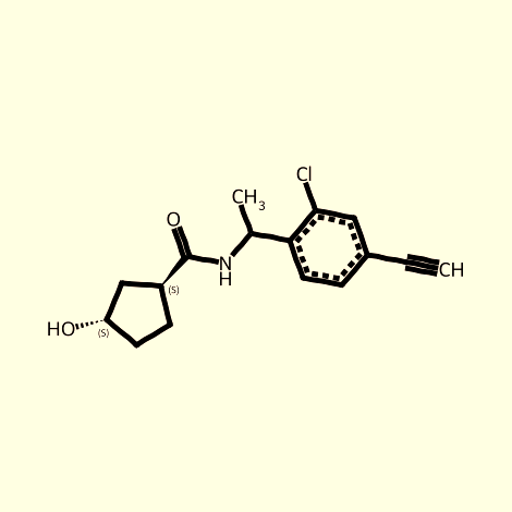 C#Cc1ccc(C(C)NC(=O)[C@H]2CC[C@H](O)C2)c(Cl)c1